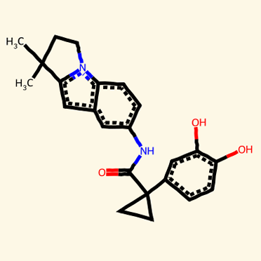 CC1(C)CCn2c1cc1cc(NC(=O)C3(c4ccc(O)c(O)c4)CC3)ccc12